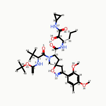 C=C(N[C@H](C(=O)N1C[C@@]2(CC(c3cc(C)c(OC)cc3OC)=NO2)C[C@H]1C(=O)N[C@@H](CCC)C(=O)C(=O)NC1CC1)C(C)(C)C)OC(C)(C)C